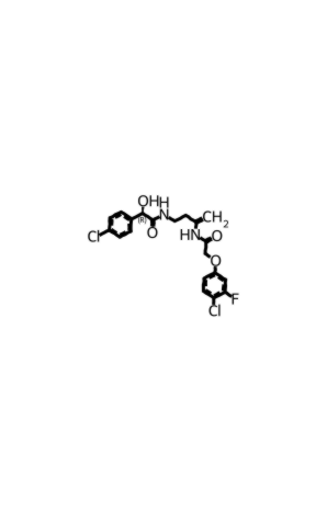 C=C(CCNC(=O)[C@H](O)c1ccc(Cl)cc1)NC(=O)COc1ccc(Cl)c(F)c1